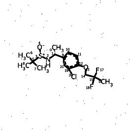 C[C@@H](N[S@+]([O-])C(C)(C)C)c1ccc(OCC(C)(F)F)c(Cl)c1